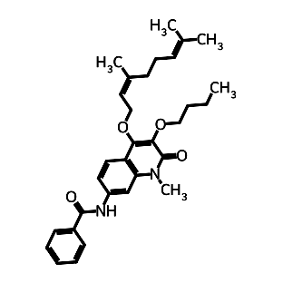 CCCCOc1c(OCC=C(C)CCC=C(C)C)c2ccc(NC(=O)c3ccccc3)cc2n(C)c1=O